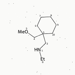 CCNCC1(COC)CCCCC1